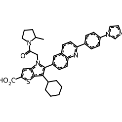 CC1CCCN1C(=O)Cn1c(-c2ccc3nc(-c4ccc(-n5ccnc5)cc4)ccc3c2)c(C2CCCCC2)c2sc(C(=O)O)cc21